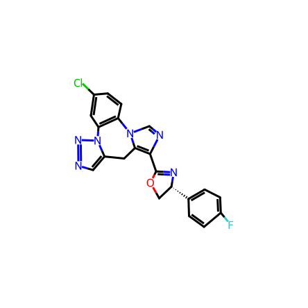 Fc1ccc([C@@H]2COC(c3ncn4c3Cc3cnnn3-c3cc(Cl)ccc3-4)=N2)cc1